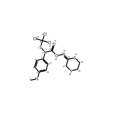 CSc1ccc(N(SC(Cl)(Cl)Cl)C(=O)ON=C2CSCCS2)cc1